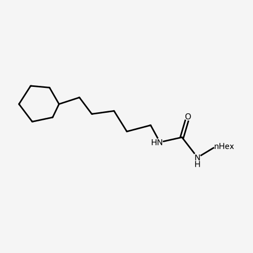 CCCCCCNC(=O)NCCCCCC1CCCCC1